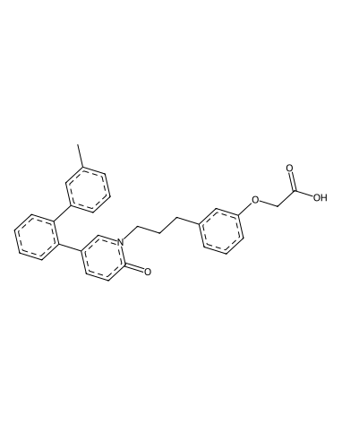 Cc1cccc(-c2ccccc2-c2ccc(=O)n(CCCc3cccc(OCC(=O)O)c3)c2)c1